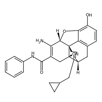 NC1=C(C(=O)Nc2ccccc2)C[C@@]2(O)[C@H]3Cc4ccc(O)c5c4[C@@]2(CCN3CC2CC2)[C@H]1O5